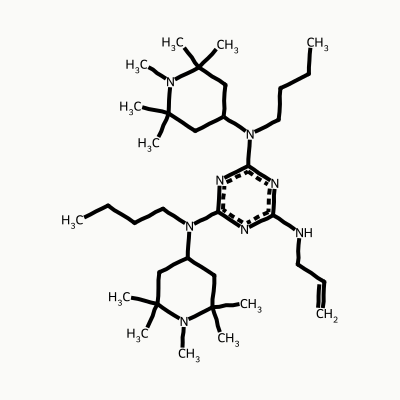 C=CCNc1nc(N(CCCC)C2CC(C)(C)N(C)C(C)(C)C2)nc(N(CCCC)C2CC(C)(C)N(C)C(C)(C)C2)n1